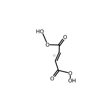 O=C(/C=C/C(=O)OO)OO